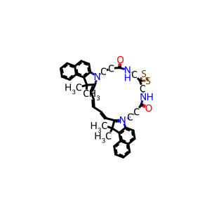 CC1(C)C2=[N+](CCC(=O)NCC3(CNC(=O)CCN4/C(=C/C=C/C=C/2)C(C)(C)c2c4ccc4ccccc24)SS3)c2ccc3ccccc3c21